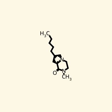 CCCCCc1cc2n(c1)CCN(C)C2=O